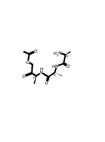 CC(=O)OCC(=O)[C@H](C)NC(=O)[C@@H](C)NC(=O)[C@H](C)N